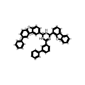 c1ccc(-c2cccc(C3=NC(c4cccc5c4oc4ccccc45)NC(c4ccc5oc6ccc(-c7ccccc7)cc6c5c4)N3)c2)cc1